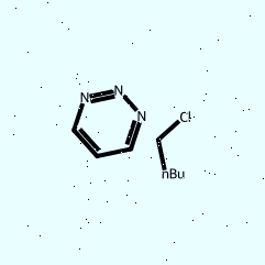 CCCCCCl.c1cnnnc1